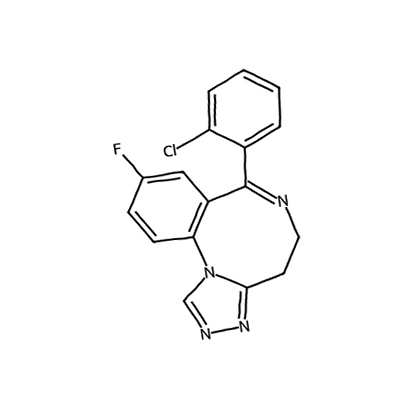 Fc1ccc2c(c1)C(c1ccccc1Cl)=NCCc1nncn1-2